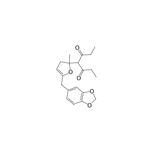 CCC(=O)C(C(=O)CC)C1(C)CC=C(Cc2ccc3c(c2)OCO3)O1